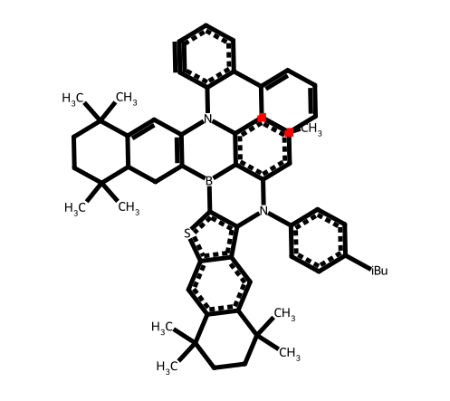 CCC(C)c1ccc(N2c3cc(C)cc4c3B(C3=C(C=C5C(C3)C(C)(C)CCC5(C)C)N4c3c#cccc3C3=CC=CCC3)c3sc4cc5c(cc4c32)C(C)(C)CCC5(C)C)cc1